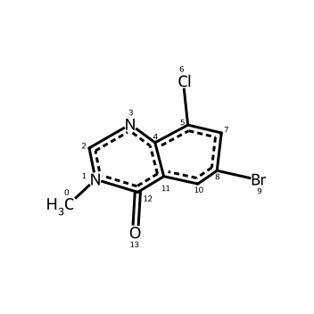 Cn1cnc2c(Cl)cc(Br)cc2c1=O